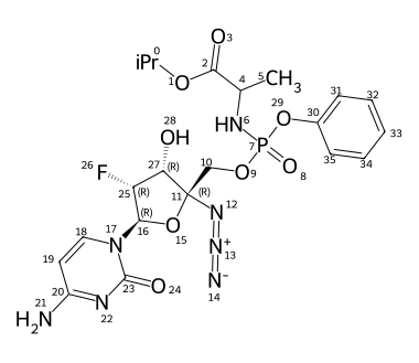 CC(C)OC(=O)C(C)NP(=O)(OC[C@@]1(N=[N+]=[N-])O[C@@H](n2ccc(N)nc2=O)[C@H](F)[C@@H]1O)Oc1ccccc1